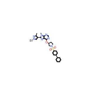 CCn1cc(-c2nc3c(OC4CCN(S(=O)(=O)c5ccc(-c6ccccc6)cc5)C4)ncnc3n2C)c(C)n1